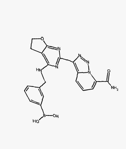 NC(=O)c1cccc2c(-c3nc(NCc4cccc(B(O)O)c4)c4c(n3)OCC4)nnn12